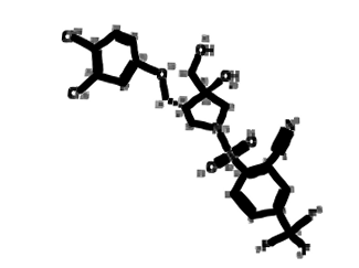 N#Cc1cc(C(F)(F)F)ccc1S(=O)(=O)N1C[C@H](COc2ccc(Cl)c(Cl)c2)[C@](O)(CO)C1